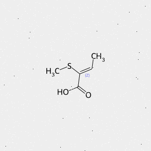 C/C=C(\SC)C(=O)O